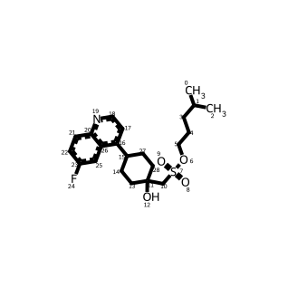 CC(C)CCCOS(=O)(=O)CC1(O)CCC(c2ccnc3ccc(F)cc23)CC1